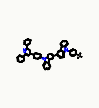 C[Si](C)(C)c1ccc(-n2c3ccccc3c3cc(-c4ccc5c(c4)c4ccccc4n5-c4ccc(-c5cc(-c6ccccc6)nc(-c6ccccc6)c5)cc4)ccc32)cc1